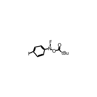 CC(C)(C)C(=O)ON(F)c1ccc(I)cc1